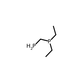 CCP(CC)CP